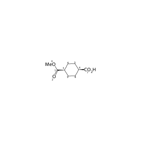 COC(=O)[C@H]1CC[C@@H](C(=O)O)CC1